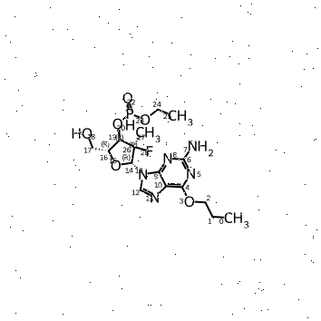 CCCOc1nc(N)nc2c1ncn2[C@@H]1O[C@H](CO)[C@@H](O[PH](=O)OCC)[C@@]1(C)F